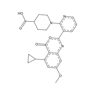 COc1cc(C2CC2)c2c(=O)oc(-c3cccnc3N3CCC(C(=O)O)CC3)nc2c1